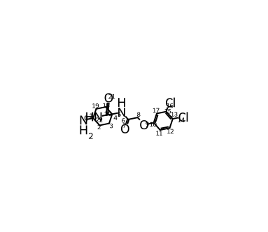 NC12CCC(NC(=O)COc3ccc(Cl)c(Cl)c3)(CC1)C(=O)N2